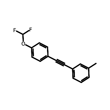 Cc1cccc(C#Cc2ccc(OC(F)F)cc2)c1